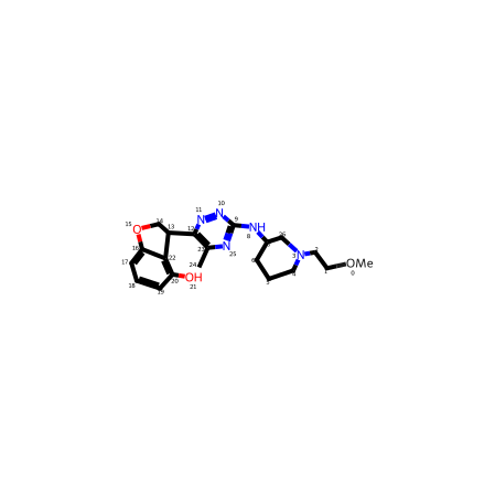 COCCN1CCCC(Nc2nnc(C3COc4cccc(O)c43)c(C)n2)C1